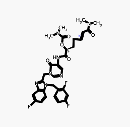 CN(C)C(=O)/C=C/CC[C@H](OC(=O)N(C)C)C(=O)Nc1cncn(Cc2nc3cc(F)ccc3n2Cc2ccc(F)cc2F)c1=O